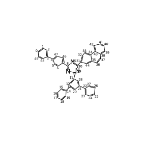 c1ccc(-c2ccc(-c3nc(-c4cc(-c5ccccc5)cc(-c5ccccc5)c4)nc(-c4ccc5c(ccc6ccccc65)c4)n3)cc2)cc1